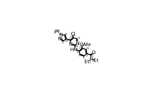 CCN(CC)C(=O)c1ccc(Nc2ncc(Cl)c(-c3cnn(C(C)C)c3)n2)c(OC)c1